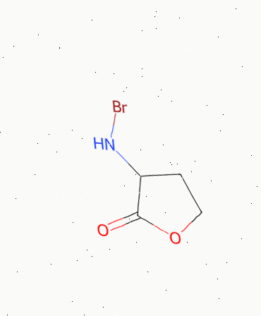 O=C1OCCC1NBr